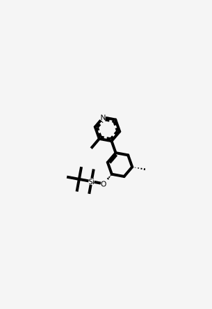 Cc1cnccc1C1=C[C@@H](O[Si](C)(C)C(C)(C)C)C[C@@H](C)C1